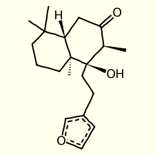 C[C@@H]1C(=O)C[C@H]2C(C)(C)CCC[C@]2(C)[C@@]1(O)CCc1ccoc1